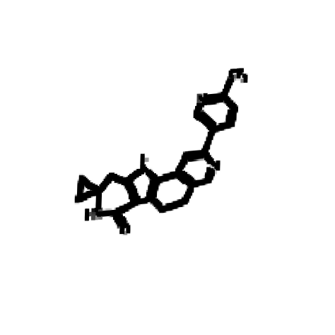 O=C1NC2(CC2)Cc2[nH]c3c(c21)CCc1cnc(-c2ccc(C(F)(F)F)nc2)cc1-3